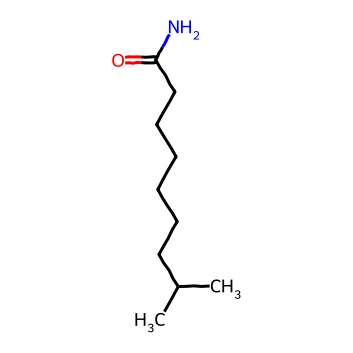 CC(C)CCCCCCC(N)=O